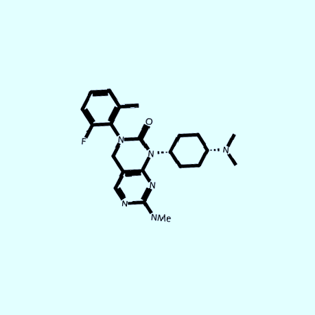 CNc1ncc2c(n1)N([C@H]1CC[C@@H](N(C)C)CC1)C(=O)N(c1c(C)cccc1F)C2